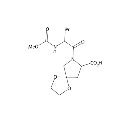 COC(=O)NC(C(=O)N1CC2(CC1C(=O)O)OCCO2)C(C)C